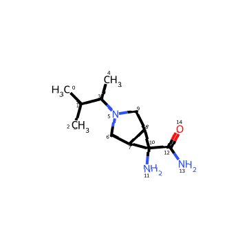 CC(C)C(C)N1CC2C(C1)C2(N)C(N)=O